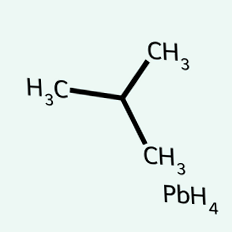 CC(C)C.[PbH4]